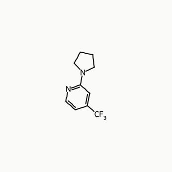 FC(F)(F)c1ccnc(N2CCCC2)c1